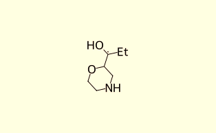 CC[C](O)C1CNCCO1